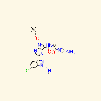 C[C@@H](NC(=O)c1cn(COCC[Si](C)(C)C)c2ncc(-c3nn(CCN(C)C)c4cc(Cl)ccc34)nc12)C(=O)N1CC(N)C1